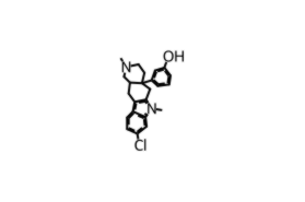 CN1CCC2(c3cccc(O)c3)Cc3c(c4ccc(Cl)cc4n3C)CC2C1